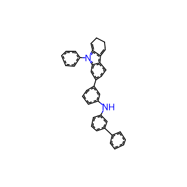 C1=c2c(n(-c3ccccc3)c3cc(-c4cccc(Nc5cccc(-c6ccccc6)c5)c4)ccc23)=CCC1